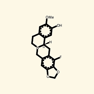 COc1cc2c(cc1O)[C@@H]1Cc3c(cc4c(c3F)OCO4)CN1CC2